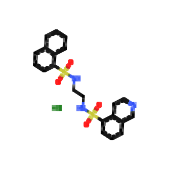 Cl.O=S(=O)(NCCNS(=O)(=O)c1cccc2cnccc12)c1cccc2ccccc12